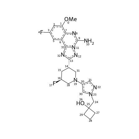 COc1cc(F)cc2c1nc(N)n1nc([C@H]3C[C@H](F)CN(c4cnn(CC5(O)CCC5)c4)C3)nc21